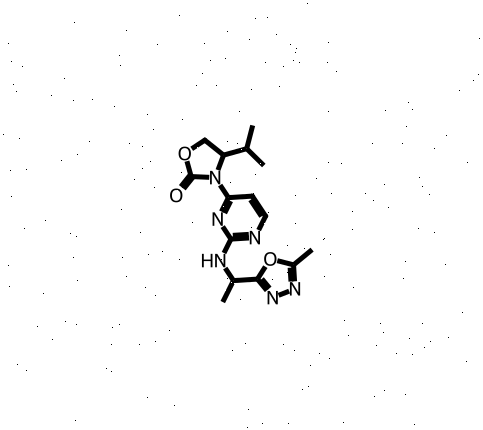 Cc1nnc(C(C)Nc2nccc(N3C(=O)OCC3C(C)C)n2)o1